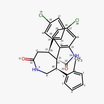 Cc1ccccc1[C@H]1CNC(=O)C[C@@H](c2cccc(Cl)c2)[C@]12C(=O)Nc1cc(Cl)ccc12